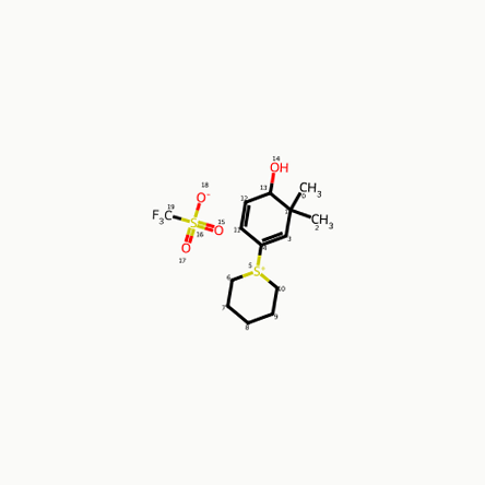 CC1(C)C=C([S+]2CCCCC2)C=CC1O.O=S(=O)([O-])C(F)(F)F